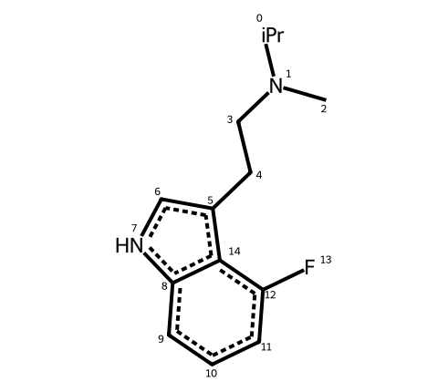 CC(C)N(C)CCc1c[nH]c2cccc(F)c12